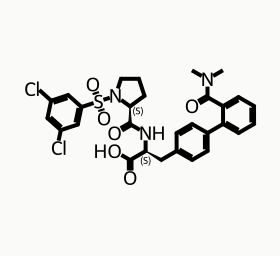 CN(C)C(=O)c1ccccc1-c1ccc(C[C@H](NC(=O)[C@@H]2CCCN2S(=O)(=O)c2cc(Cl)cc(Cl)c2)C(=O)O)cc1